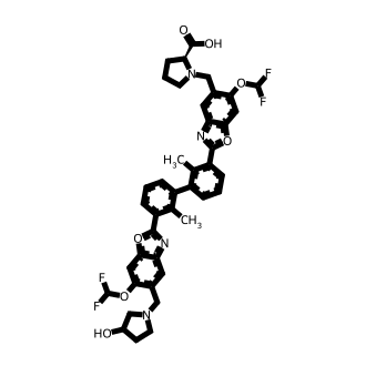 Cc1c(-c2nc3cc(CN4CCC(O)C4)c(OC(F)F)cc3o2)cccc1-c1cccc(-c2nc3cc(CN4CCC[C@H]4C(=O)O)c(OC(F)F)cc3o2)c1C